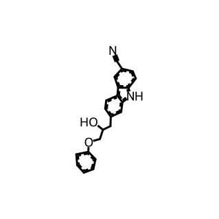 N#Cc1ccc2[nH]c3cc(CC(O)COc4ccccc4)ccc3c2c1